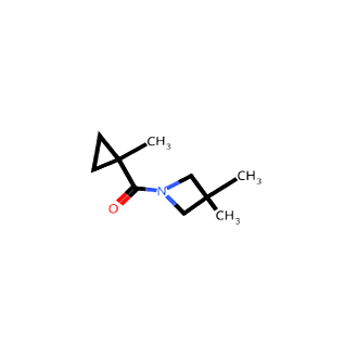 CC1(C)CN(C(=O)C2(C)CC2)C1